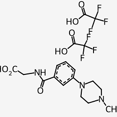 CN1CCN(c2cccc(C(=O)NCC(=O)O)c2)CC1.O=C(O)C(F)(F)F.O=C(O)C(F)(F)F